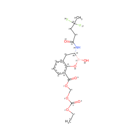 CCOC(=O)OCOC(=O)c1cccc2c1OB(O)[C@@H](NC(=O)CCC(C)(F)F)C2